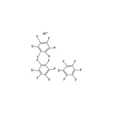 Fc1c(F)c(F)c([S-])c(F)c1F.Fc1c(F)c(F)c([S-])c(F)c1F.Fc1c(F)c(F)c([S-])c(F)c1F.[Al+3]